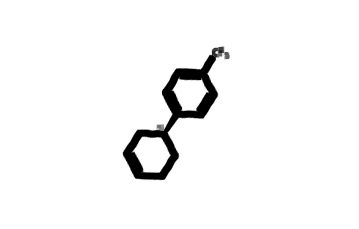 FC(F)(F)c1ccc([C@@H]2CC=CCC2)cc1